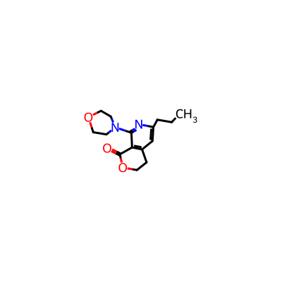 CCCc1cc2c(c(N3CCOCC3)n1)C(=O)OCC2